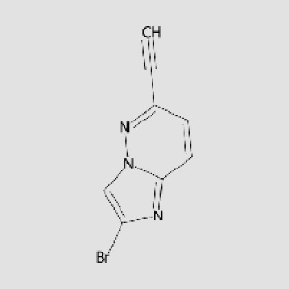 C#Cc1ccc2nc(Br)cn2n1